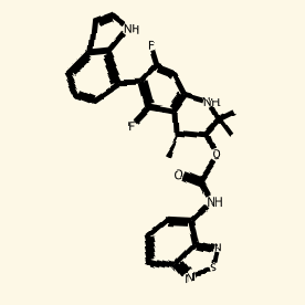 C[C@H]1c2c(cc(F)c(-c3cccc4cc[nH]c34)c2F)NC(C)(C)C1OC(=O)Nc1cccc2nsnc12